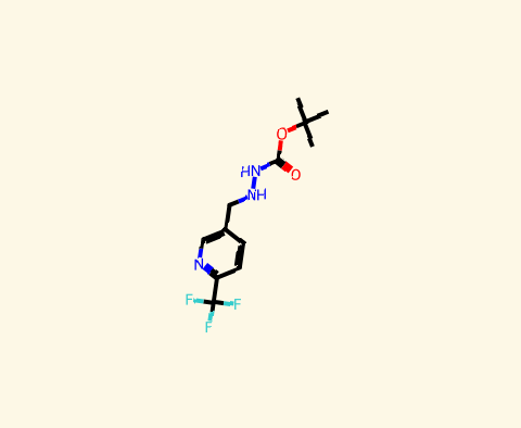 CC(C)(C)OC(=O)NNCc1ccc(C(F)(F)F)nc1